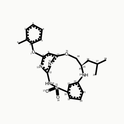 Cc1ccccc1Oc1cc2nc(n1)NS(=O)(=O)c1cccc(c1)N[C@H](CC(C)C)CO2